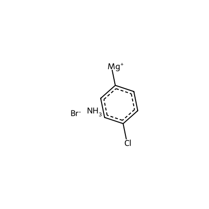 N.[Br-].[Mg+][c]1ccc(Cl)cc1